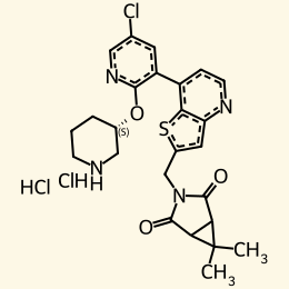 CC1(C)C2C(=O)N(Cc3cc4nccc(-c5cc(Cl)cnc5O[C@H]5CCCNC5)c4s3)C(=O)C21.Cl.Cl